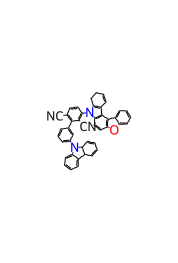 N#Cc1ccc(-n2c3c(c4c5c(ccc42)oc2ccccc25)C=CCC3)c(C#N)c1-c1cccc(N2c3ccccc3C3C=CC=CC32)c1